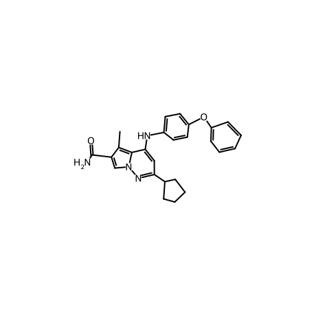 Cc1c(C(N)=O)cn2nc(C3CCCC3)cc(Nc3ccc(Oc4ccccc4)cc3)c12